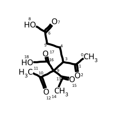 CC(=O)C(CCC(=O)O)C(C(C)=O)(C(C)=O)C(=O)O